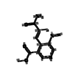 C=Nc1cncc(C(=O)OC)c1/C=C(\C)C(N)=O